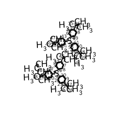 CC.CC(C)(C)c1ccc([S+](c2ccc(C(C)(C)C)cc2)c2ccc(C(C)(C)C)cc2)cc1.CC(C)(C)c1ccc([S+](c2ccc(C(C)(C)C)cc2)c2ccc(C(C)(C)C)cc2)cc1